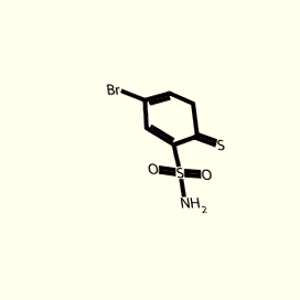 NS(=O)(=O)C1=CC(Br)=CCC1=S